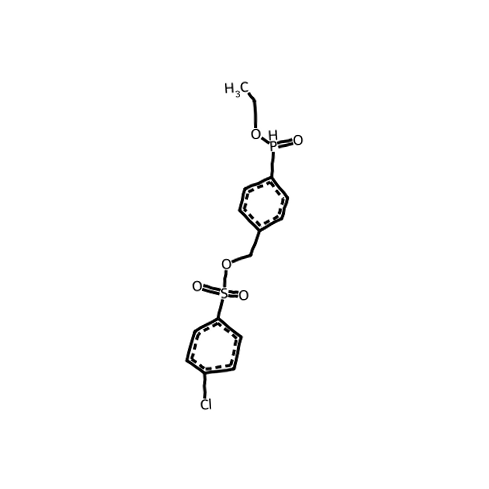 CCO[PH](=O)c1ccc(COS(=O)(=O)c2ccc(Cl)cc2)cc1